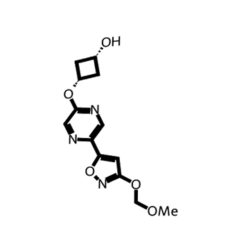 COCOc1cc(-c2cnc(O[C@H]3C[C@@H](O)C3)cn2)on1